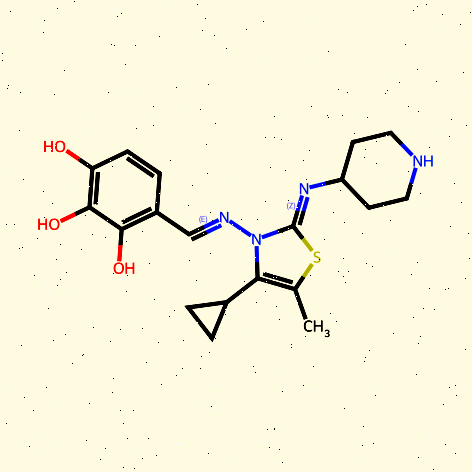 Cc1s/c(=N\C2CCNCC2)n(/N=C/c2ccc(O)c(O)c2O)c1C1CC1